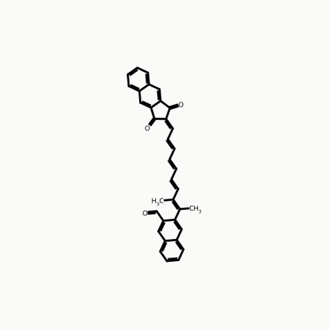 CC(/C=C/C=C/C=C/C=C1C(=O)c2cc3ccccc3cc2C1=O)=C(/C)c1cc2ccccc2cc1C=O